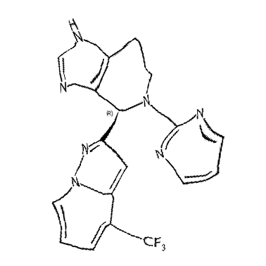 FC(F)(F)c1cccn2nc([C@H]3c4nc[nH]c4CCN3c3ncccn3)cc12